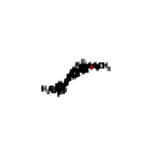 CCCCCc1ccc(C2CCC(/C=C/CCc3ccc(OC)c(F)c3F)CC2)c(F)c1F